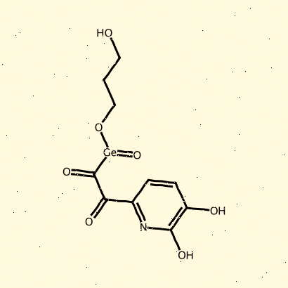 O=C([C](=O)[Ge](=[O])[O]CCCO)c1ccc(O)c(O)n1